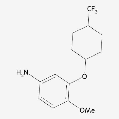 COc1ccc(N)cc1OC1CCC(C(F)(F)F)CC1